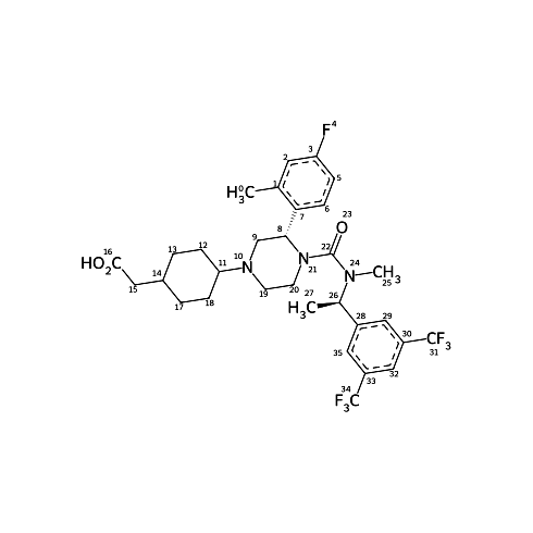 Cc1cc(F)ccc1[C@H]1CN(C2CCC(CC(=O)O)CC2)CCN1C(=O)N(C)[C@H](C)c1cc(C(F)(F)F)cc(C(F)(F)F)c1